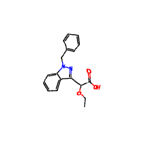 CCOC(C(=O)O)c1nn(Cc2ccccc2)c2ccccc12